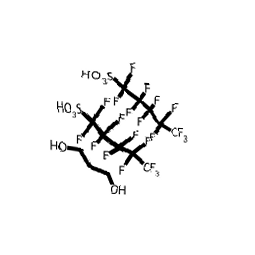 O=S(=O)(O)C(F)(F)C(F)(F)C(F)(F)C(F)(F)C(F)(F)F.O=S(=O)(O)C(F)(F)C(F)(F)C(F)(F)C(F)(F)C(F)(F)F.OCCCO